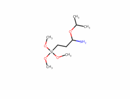 CO[Si](CCC(N)OC(C)C)(OC)OC